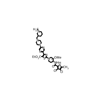 CCOC(=O)c1sc(N2CC[C@@H](NC(=O)c3[nH]c(C)c(Cl)c3Cl)[C@@H](OC)C2)nc1-c1cnc(N2CCN(CC3CCCN(C)C3)CC2)cn1